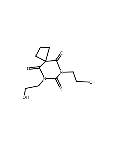 O=C1N(CCO)C(=S)N(CCO)C(=O)C12CCC2